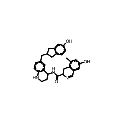 Cc1cc(O)cc2c1CC(C(=O)NC1CCNc3ccc(CC4Cc5ccc(O)cc5C4)cc31)N=C2